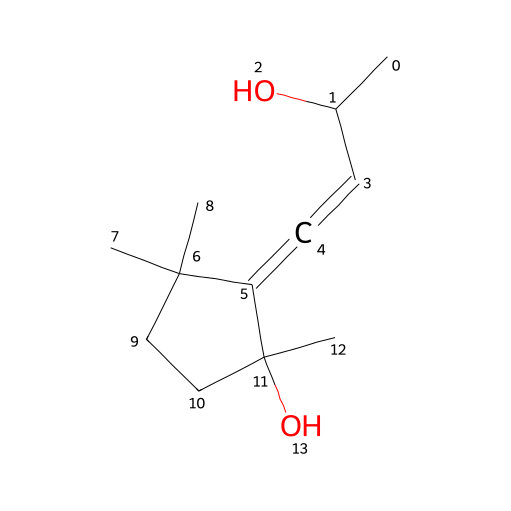 CC(O)C=C=C1C(C)(C)CCC1(C)O